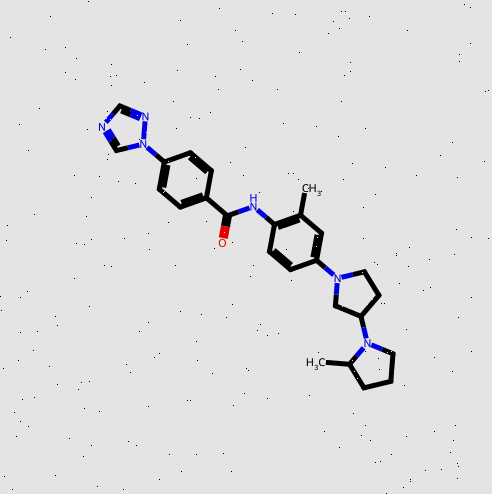 Cc1cc(N2CCC(N3CCCC3C)C2)ccc1NC(=O)c1ccc(-n2cncn2)cc1